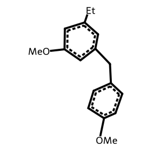 CCc1cc(Cc2ccc(OC)cc2)cc(OC)c1